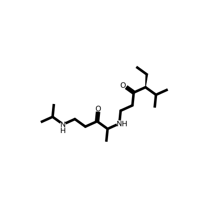 CC[C@H](C(=O)CCNC(C)C(=O)CCNC(C)C)C(C)C